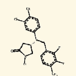 CCN1C[C@@H](N(Cc2ccc(C)c(F)c2F)c2ccc(C#N)c(Cl)c2)CC1=O